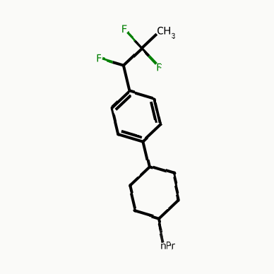 CCCC1CCC(c2ccc(C(F)C(C)(F)F)cc2)CC1